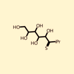 CC(C)C(=S)C(O)C(O)C(O)C(O)CO